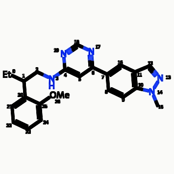 CCC(CNc1cc(-c2ccc3c(cnn3C)c2)ncn1)c1ccccc1OC